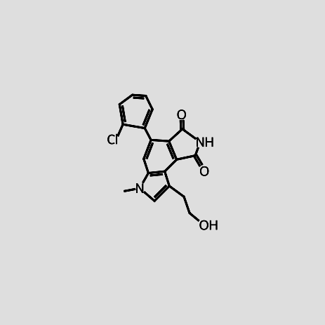 Cn1cc(CCO)c2c3c(c(-c4ccccc4Cl)cc21)C(=O)NC3=O